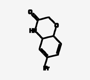 CC(C)C1=CC2NC(=O)COC2C=C1